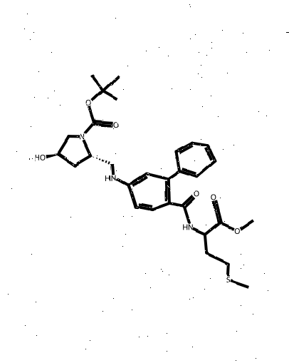 COC(=O)C(CCSC)NC(=O)c1ccc(NC[C@@H]2C[C@@H](O)CN2C(=O)OC(C)(C)C)cc1-c1ccccc1